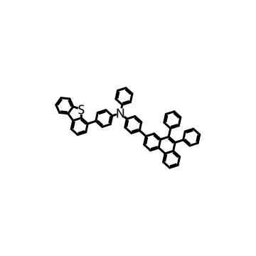 c1ccc(-c2c(-c3ccccc3)c3cc(-c4ccc(N(c5ccccc5)c5ccc(-c6cccc7c6sc6ccccc67)cc5)cc4)ccc3c3ccccc23)cc1